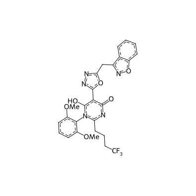 COc1cccc(OC)c1-n1c(CCCC(F)(F)F)nc(=O)c(-c2nnc(Cc3noc4ccccc34)o2)c1O